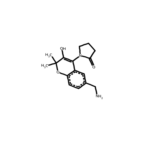 CC1(C)Oc2ccc(CN)cc2C(N2CCCC2=O)=C1O